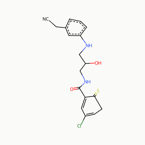 N#CCc1cccc(NCC(O)CNC(=O)C2=CC(Cl)=CCC2=S)c1